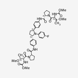 COC(=O)NC(C(=O)N1CCCC1C(=O)Nc1ccc([C@@H]2CC[C@@H](c3ccc(NC(=O)[C@@H]4CCCN4C(=O)[C@@H](NC(=O)OC)[C@@H](C)OC)cc3)N2c2ccc(F)cc2)cc1)[C@@H](C)OC